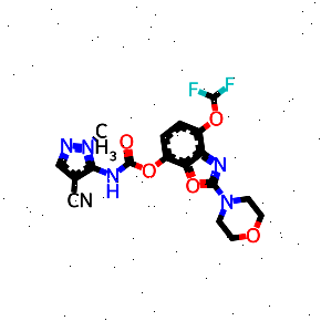 Cn1ncc(C#N)c1NC(=O)Oc1ccc(OC(F)F)c2nc(N3CCOCC3)oc12